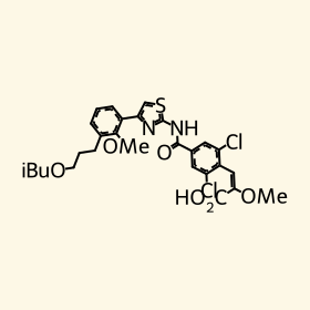 CO/C(=C/c1c(Cl)cc(C(=O)Nc2nc(-c3cccc(CCCOCC(C)C)c3OC)cs2)cc1Cl)C(=O)O